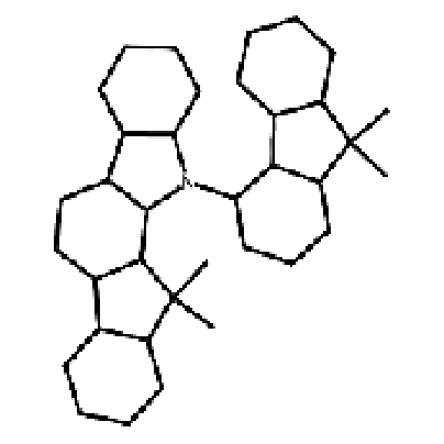 CC1(C)C2CCCCC2C2C(N3C4CCCCC4C4CCC5C6CCCCC6C(C)(C)C5C43)CCCC21